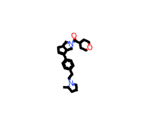 CC1CCCN1CCc1ccc(C2=CCC3CN(C(=O)C4CCOCC4)CC23)cc1